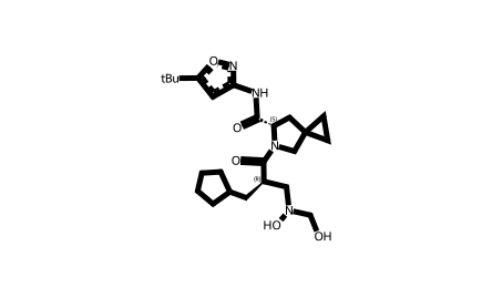 CC(C)(C)c1cc(NC(=O)[C@@H]2CC3(CC3)CN2C(=O)[C@H](CC2CCCC2)CN(O)CO)no1